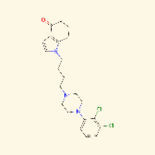 O=C1CCCc2c1ccn2CCCCN1CCN(c2cccc(Cl)c2Cl)CC1